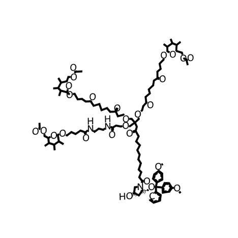 COc1ccc(C(OC[C@@H]2C[C@@H](O)CN2C(=O)CCCCCCCCCCC(=O)CC(COCCC(=O)CCCCCC(=O)CCCCOC2OC(COC(C)=O)C(C)C(C)C2C)(COCCC(=O)CCCCCC(=O)CCCCOC2OC(COC(C)=O)C(C)C(C)C2C)COCCC(=O)NCCCNC(=O)CCCCOC2OC(COC(C)=O)C(C)C(C)C2C)(c2ccccc2)c2ccc(OC)cc2)cc1